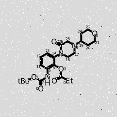 CCC(=O)Oc1c(NC(=O)OC(C)(C)C)cccc1N1CCN(C2CCOCC2)CC1=O